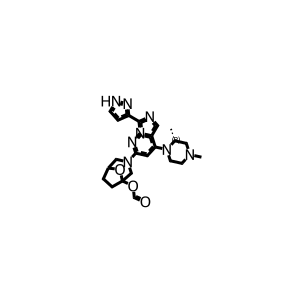 C[C@@H]1CN(C)CCN1c1cc(N2CC3CCC(OC=O)(C2)O3)nn2c(-c3cc[nH]n3)ncc12